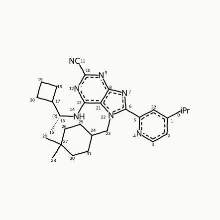 CC(C)c1ccnc(-c2nc3nc(C#N)nc(N[C@H](C)C4CCC4)c3n2CC2CCC(C)(C)CC2)c1